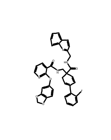 O=C(NCC1(C(=O)NCc2ccc3ccccc3n2)C=CC(c2ccccc2F)=CC1)c1cccnc1Oc1ccc2c(c1)OCO2